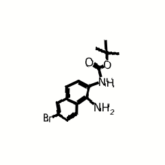 CC(C)(C)OC(=O)Nc1ccc2cc(Br)ccc2c1N